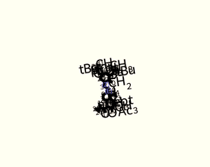 C=C1/C(=C\C=C2/CCC[C@]3(C)[C@@H]([C@H](C)C(CC(=O)C4(CCCCCCC)CC4)OC(C)=O)CC[C@@H]23)CC(O[Si](C)(C)C(C)(C)C)CC1O[Si](C)(C)C(C)(C)C